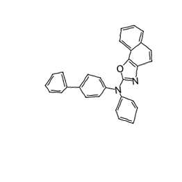 c1ccc(-c2ccc(N(c3ccccc3)c3nc4ccc5ccccc5c4o3)cc2)cc1